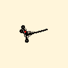 CCCCCCCCCCCCCCCC(=O)OC(C(=O)OCc1ccccc1)C(O)(CC(=O)OCc1ccccc1)C(=O)OCc1ccccc1